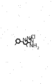 Cc1cccc(-c2cc(C)c3c(N)nc(Cl)nc3n2)c1